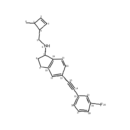 CC1C=CC1CNC1CCc2cc(C#Cc3cccc(F)c3)ccc21